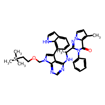 Cc1ccn2nc(C(C)Nc3ncnc4c3c(-c3cccc5cc[nH]c35)cn4COCC[Si](C)(C)C)n(-c3ccccc3)c(=O)c12